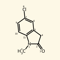 CN1C(=O)Cc2cc(Cl)ccc21